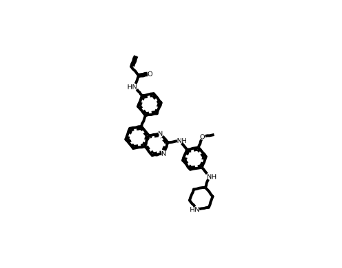 C=CC(=O)Nc1cccc(-c2cccc3cnc(Nc4ccc(NC5CCNCC5)cc4OC)nc23)c1